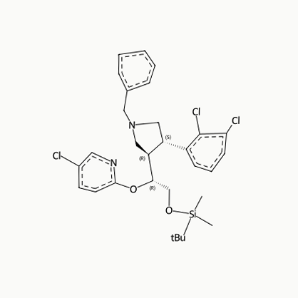 CC(C)(C)[Si](C)(C)OC[C@H](Oc1ccc(Cl)cn1)[C@H]1CN(Cc2ccccc2)C[C@@H]1c1cccc(Cl)c1Cl